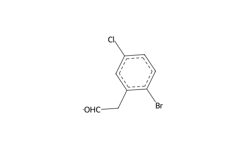 O=[C]Cc1cc(Cl)ccc1Br